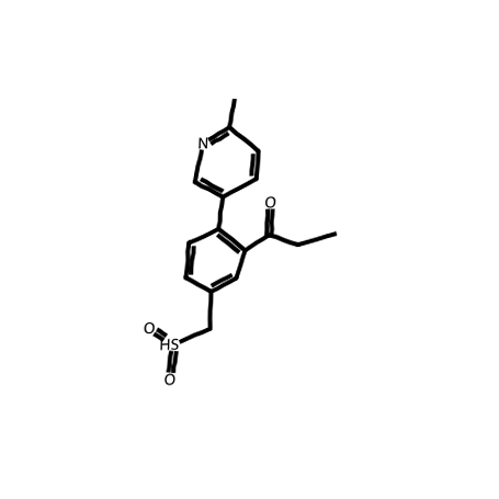 CCC(=O)c1cc(C[SH](=O)=O)ccc1-c1ccc(C)nc1